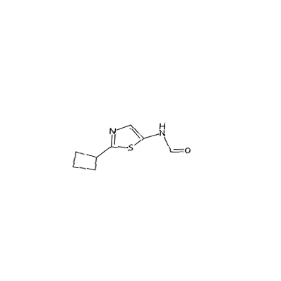 O=CNc1cnc(C2CCC2)s1